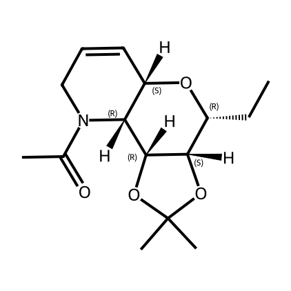 CC[C@H]1O[C@H]2C=CCN(C(C)=O)[C@H]2[C@H]2OC(C)(C)O[C@H]21